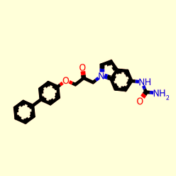 NC(=O)Nc1ccc2c(ccn2CC(=O)COc2ccc(-c3ccccc3)cc2)c1